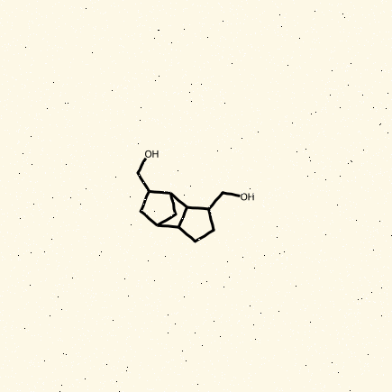 OCC1CC2CC1C1C(CO)CCC21